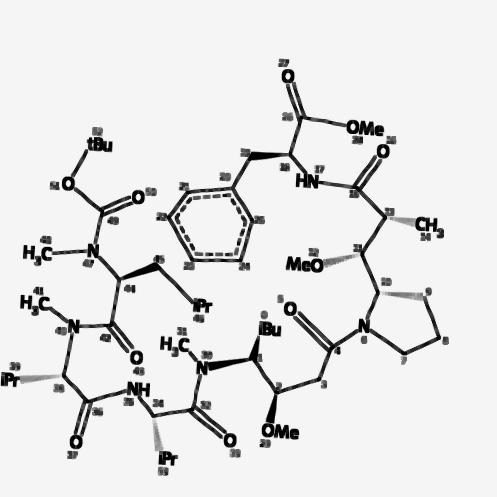 CC[C@H](C)[C@@H]([C@@H](CC(=O)N1CCC[C@H]1[C@H](OC)[C@@H](C)C(=O)N[C@@H](Cc1ccccc1)C(=O)OC)OC)N(C)C(=O)[C@@H](NC(=O)[C@H](C(C)C)N(C)C(=O)[C@H](CC(C)C)N(C)C(=O)OC(C)(C)C)C(C)C